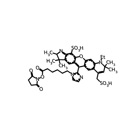 CCN1c2cc3c(cc2C(CS(=O)(=O)O)=CC1(C)C)C(c1nccn1CCCCCC(=O)ON1C(=O)CCC1=O)=c1cc2c(c(S(=O)(=O)O)c1O3)=NC(C)C2(C)C